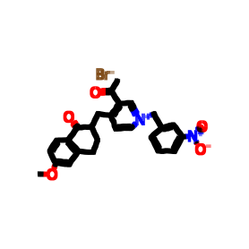 COc1ccc2c(c1)CCC(Cc1cc[n+](Cc3cccc([N+](=O)[O-])c3)cc1C(C)=O)C2=O.[Br-]